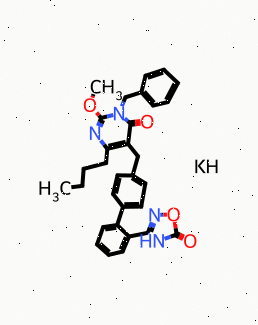 CCCCc1nc(OC)n(Cc2ccccc2)c(=O)c1Cc1ccc(-c2ccccc2-c2noc(=O)[nH]2)cc1.[KH]